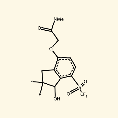 CNC(=O)COc1ccc(S(=O)(=O)C(F)(F)F)c2c1CC(F)(F)C2O